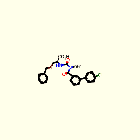 CCCN(C(=O)N[C@@H](CSCc1ccccc1)C(=O)O)C(=O)c1cccc(-c2ccc(Cl)cc2)c1